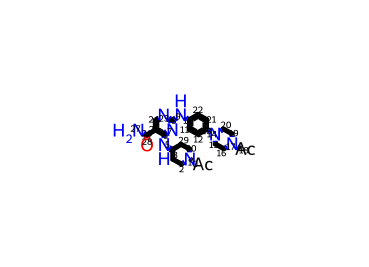 CC(=O)N1CCC(Nc2nc(Nc3ccc(N4CCN(C(C)=O)CC4)cc3)ncc2C(N)=O)CC1